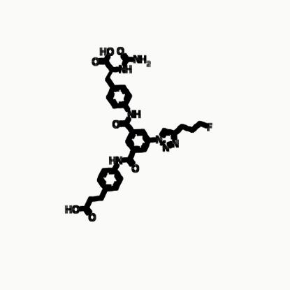 NC(=O)N[C@@H](Cc1ccc(NC(=O)c2cc(C(=O)Nc3ccc(CCC(=O)O)cc3)cc(-n3cc(CCCF)nn3)c2)cc1)C(=O)O